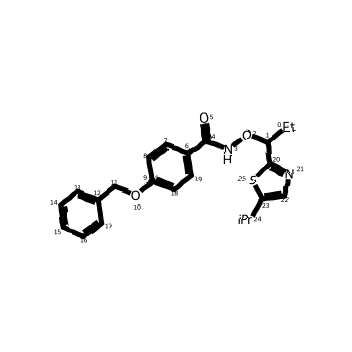 CCC(ONC(=O)c1ccc(OCc2ccccc2)cc1)c1ncc(C(C)C)s1